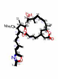 CO[C@@H](/C(C)=C/C=C/C(C)=C/c1coc(C)n1)[C@@H](C)C1C[C@H](O)/C(C)=C/C=C/[C@@H](C)[C@H]2C[C@@H](C/C=C/C(=O)O1)CC(=O)O2